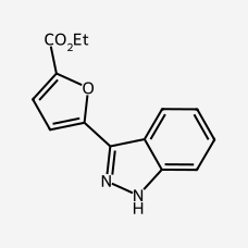 CCOC(=O)c1ccc(-c2n[nH]c3ccccc23)o1